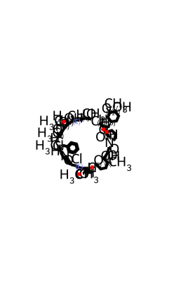 CO[C@H]1C[C@@H]2CC[C@@H](C)[C@@](O)(O2)C(=O)C(=O)N2CCCC3[C@H]2C(=O)O[C@@H](CC(=O)[C@H](C)/C=C(\C)[C@@H](O)[C@@H](OC)C(=O)[C@H](C)C[C@H](C)C2C=CC(/C=C/1C)ON2c1c(Cl)cccc1Cl)[C@H]3C[C@@H]1CC[C@@H](O)[C@H](OC)C1